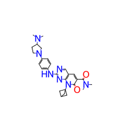 CN(C)C(=O)c1cc2cnc(Nc3ccc(N4CCC(N(C)C)C4)cc3)nc2n(C23CC(C2)C3)c1=O